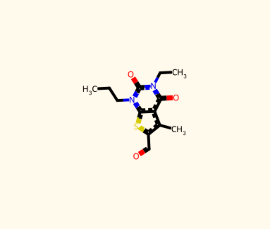 CCCn1c(=O)n(CC)c(=O)c2c(C)c(C=O)sc21